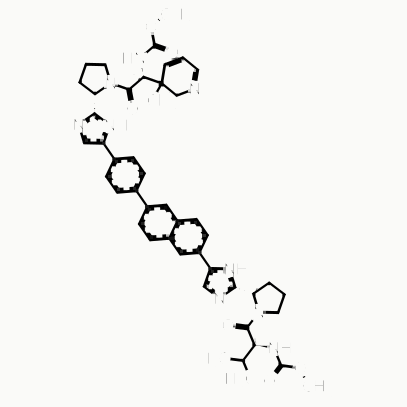 COC(=O)N[C@H](C(=O)N1CCC[C@H]1c1ncc(-c2ccc3cc(-c4ccc(-c5cnc([C@@H]6CCCN6C(=O)[C@H](NC(=O)OC)C6(C)C=CC=NC6)[nH]5)cc4)ccc3c2)[nH]1)C(C)C